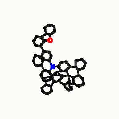 c1ccc(-c2ccccc2N(c2ccc(-c3cccc4c3oc3ccccc34)cc2)c2ccc3c(c2)C2(c4ccccc4-c4ccccc4-3)c3ccccc3-c3c2ccc2c3-c3ccccc3C2)cc1